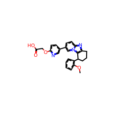 COc1ccccc1C1CCCc2nc3ccc(-c4ccc(OCC(=O)O)nc4)cn3c21